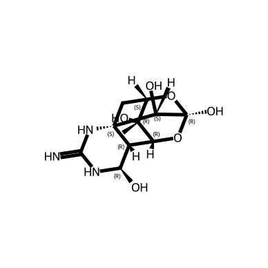 C[C@@]1(O)[C@@H]2C[C@]34NC(=N)N[C@H](O)[C@H]3[C@H]1O[C@](O)(O2)[C@H]4O